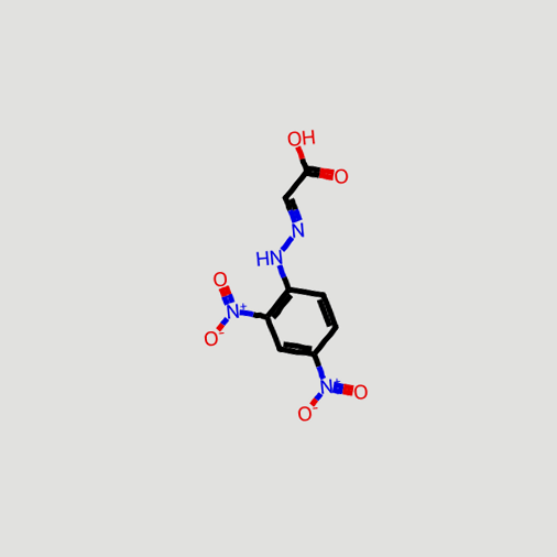 O=C(O)C=NNc1ccc([N+](=O)[O-])cc1[N+](=O)[O-]